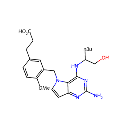 CCCCC(CO)Nc1nc(N)nc2ccn(Cc3cc(CCC(=O)O)ccc3OC)c12